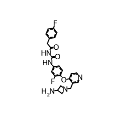 NC1CN(Cc2cnccc2Oc2ccc(NC(=O)NC(=O)Cc3ccc(F)cc3)cc2F)C1